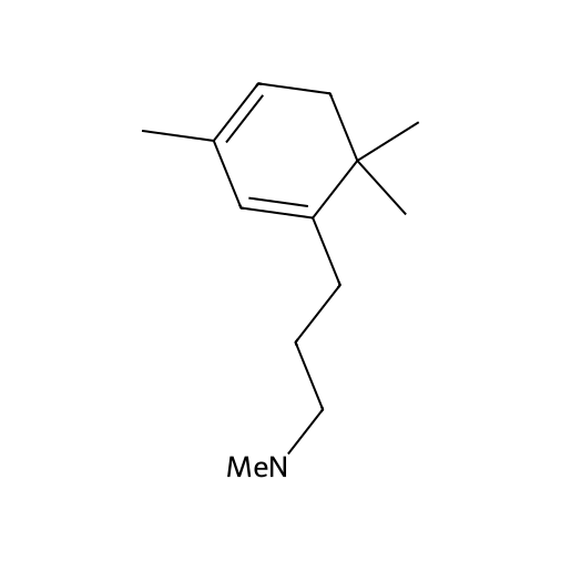 CNCCCC1=CC(C)=CCC1(C)C